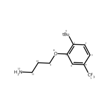 CC(C)(C)c1ccc(C(F)(F)F)cc1OCCCN